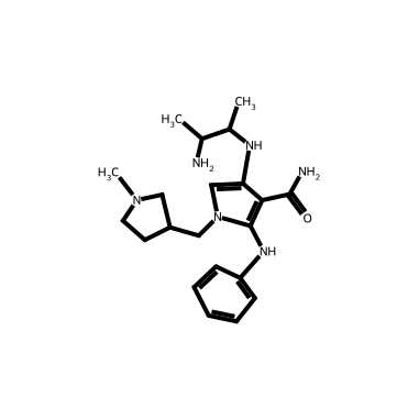 CC(N)C(C)Nc1cn(CC2CCN(C)C2)c(Nc2ccccc2)c1C(N)=O